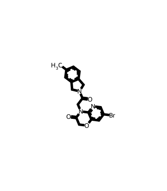 Cc1ccc2c(c1)CN(C(=O)CN1C(=O)COc3cc(Br)cnc31)C2